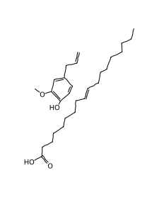 C=CCc1ccc(O)c(OC)c1.CCCCCCCCC=CCCCCCCCC(=O)O